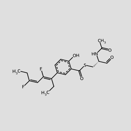 CC/C(=C(F)\C=C(\F)CC)c1ccc(O)c(C(=O)SC[C@@H](C=O)NC(C)=O)c1